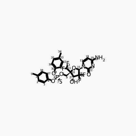 Cc1ccc(OP(=S)(OC[C@@]2(C(F)F)O[C@@H](n3ccc(N)nc3=O)C(F)(F)[C@@H]2O)Oc2ccc(C)cc2)cc1